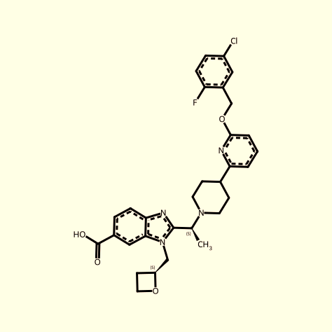 C[C@@H](c1nc2ccc(C(=O)O)cc2n1C[C@@H]1CCO1)N1CCC(c2cccc(OCc3cc(Cl)ccc3F)n2)CC1